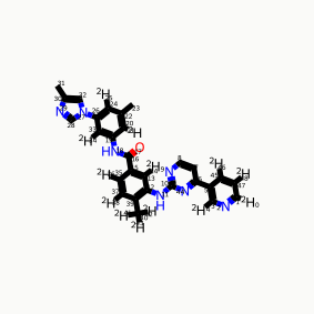 [2H]c1nc([2H])c(-c2ccnc(Nc3c([2H])c(C(=O)Nc4c([2H])c(C)c([2H])c(-n5cnc(C)c5)c4[2H])c([2H])c([2H])c3C([2H])([2H])[2H])n2)c([2H])c1[2H]